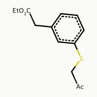 CCOC(=O)Cc1cccc(SCC(C)=O)c1